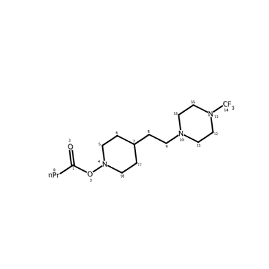 CCCC(=O)ON1CCC(CCN2CCN(C(F)(F)F)CC2)CC1